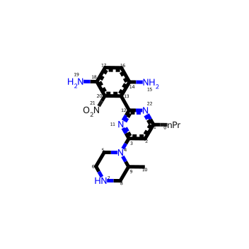 CCCc1cc(N2CCNCC2C)nc(-c2c(N)ccc(N)c2[N+](=O)[O-])n1